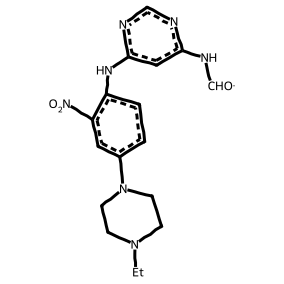 CCN1CCN(c2ccc(Nc3cc(N[C]=O)ncn3)c([N+](=O)[O-])c2)CC1